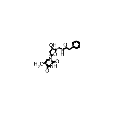 Cc1cn([C@H]2CC(O)[C@@H](CNC(=O)Cc3ccccc3)O2)c(=O)[nH]c1=O